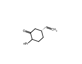 C=C[C@@H]1CCC(CCC)C(=O)C1